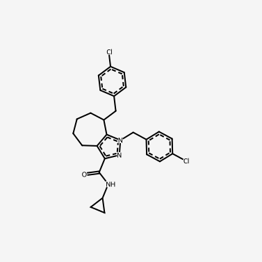 O=C(NC1CC1)c1nn(Cc2ccc(Cl)cc2)c2c1CCCCC2Cc1ccc(Cl)cc1